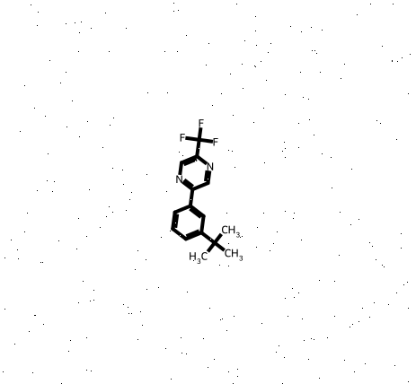 CC(C)(C)c1cccc(-c2cnc(C(F)(F)F)cn2)c1